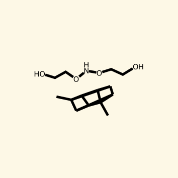 CC12C3C4C1C1C2C3C41C.OCCONOCCO